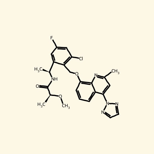 CO[C@@H](C)C(=O)N[C@@H](C)c1cc(F)cc(Cl)c1COc1cccc2c(-n3nccn3)cc(C)nc12